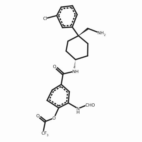 NC[C@]1(c2cccc(Cl)c2)CC[C@@H](NC(=O)c2ccc(OC(=O)C(F)(F)F)c(NC=O)c2)CC1